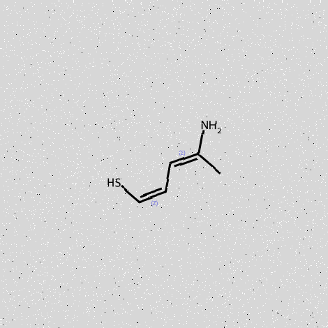 C/C(N)=C\C=C/S